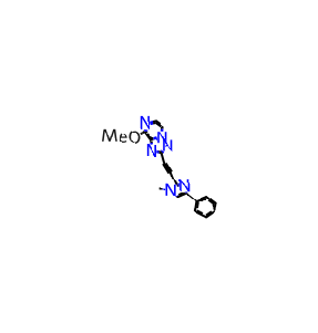 COc1nccn2nc(C#Cc3nc(-c4ccccc4)cn3C)nc12